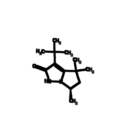 C[C@@H]1CC(C)(C)c2c(C(C)(C)C)c(=O)[nH]n21